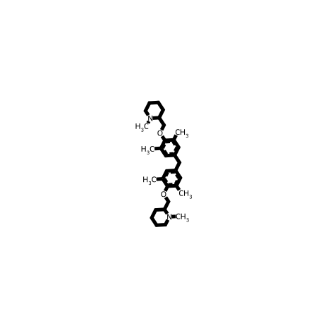 Cc1cc(Cc2cc(C)c(OCC3CCCCN3C)c(C)c2)cc(C)c1OCC1CCCCN1C